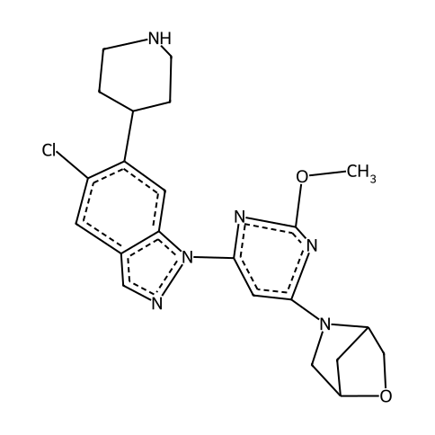 COc1nc(N2CC3CC2CO3)cc(-n2ncc3cc(Cl)c(C4CCNCC4)cc32)n1